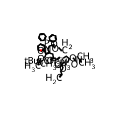 C=CCOC(=O)C(N1C(=O)C([C@@H](C)O[Si](C)(C)C(C)(C)C)=C1CC(=O)C(C)=C[C@@H]1C[C@@H](OC(=O)N(C)C)CN1C(=O)OCC=C)=P(c1ccccc1)(c1ccccc1)c1ccccc1